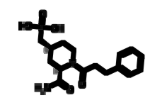 NC(=O)[C@H]1C[C@@H](CP(=O)(O)O)CCN1C(=O)CCc1ccccc1